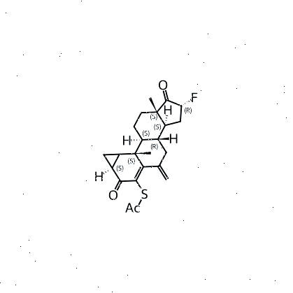 C=C1C[C@H]2[C@@H]3C[C@@H](F)C(=O)[C@@]3(C)CC[C@@H]2[C@]2(C)C1=C(SC(C)=O)C(=O)[C@H]1CC12